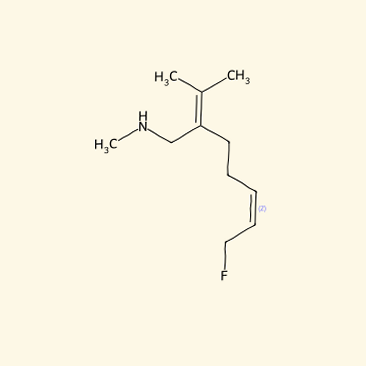 CNCC(CC/C=C\CF)=C(C)C